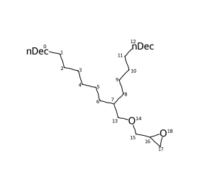 CCCCCCCCCCCCCCCCC(CCCCCCCCCCCCCC)COCC1CO1